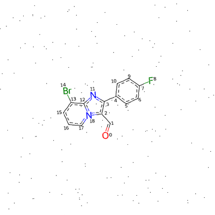 O=Cc1c(-c2ccc(F)cc2)nc2c(Br)cccn12